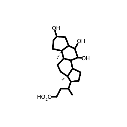 CC(CCC(=O)O)C1CCC2C3C(O)C(O)C4CC(O)CC[C@]4(C)C3CC[C@]12C